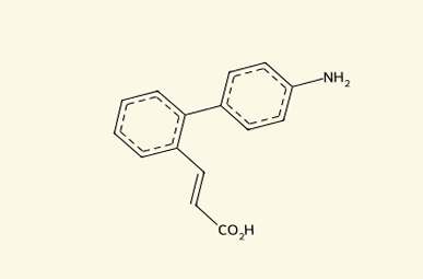 Nc1ccc(-c2ccccc2C=CC(=O)O)cc1